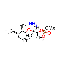 C=C=C(CC(C)C)C(CCC)COC(C)(C)C(C)OS(=O)(=O)OC.N